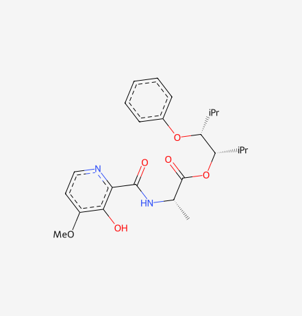 COc1ccnc(C(=O)N[C@@H](C)C(=O)O[C@@H](C(C)C)[C@H](Oc2ccccc2)C(C)C)c1O